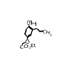 C=CCc1cc(OCC(=O)OCC)ccc1O